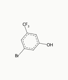 Oc1cc(Br)cc(C(F)(F)F)c1